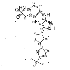 CC(C)(C)c1coc(C2CCC(c3cc(Nc4ccc5c(c4F)CS(=O)(=O)N5)n[nH]3)C2)n1